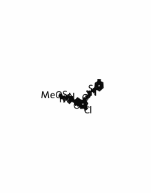 COc1nn2cc(-c3cc4c(OCc5csc(-c6cccc(C)c6)n5)cc(Cl)cc4o3)nc2s1